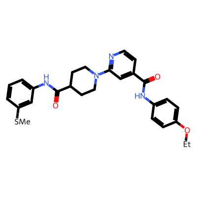 CCOc1ccc(NC(=O)c2ccnc(N3CCC(C(=O)Nc4cccc(SC)c4)CC3)c2)cc1